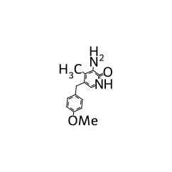 COc1ccc(Cc2c[nH]c(=O)c(N)c2C)cc1